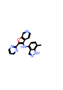 Cc1ccc(Nc2c(-c3ncccn3)oc3cnccc23)c2cn[nH]c12